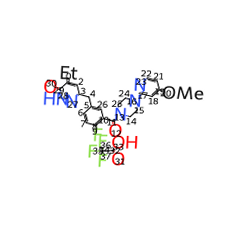 CCc1cc(Cc2ccc(F)c(C(=O)N3CCN(c4cc(OC)ccn4)CC3)c2)n[nH]c1=O.O=C(O)C(F)(F)F